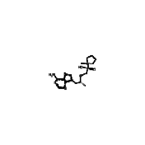 C[C@H](Cn1cnc2c(N)ncnc21)OCP(=O)(O)[N+]1(C)CCCC1